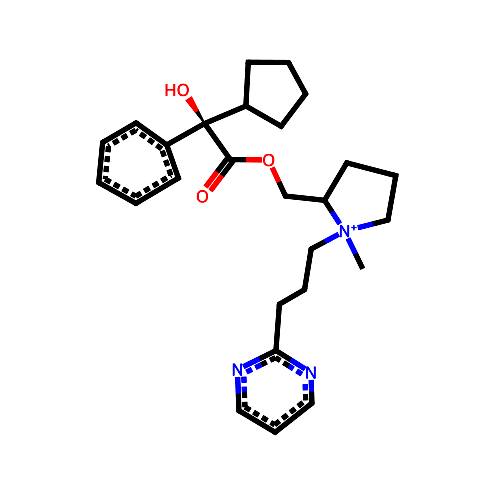 C[N+]1(CCCc2ncccn2)CCCC1COC(=O)[C@](O)(c1ccccc1)C1CCCC1